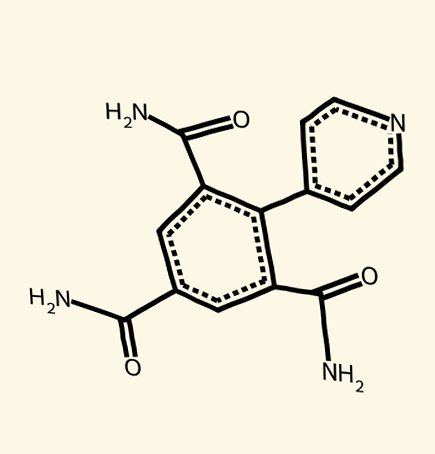 NC(=O)c1cc(C(N)=O)c(-c2ccncc2)c(C(N)=O)c1